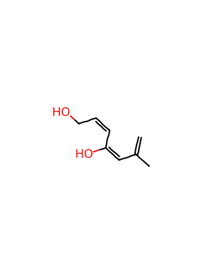 C=C(C)/C=C(O)\C=C/CO